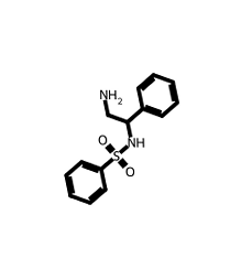 NCC(NS(=O)(=O)c1ccccc1)c1ccccc1